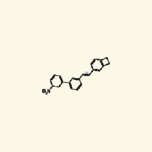 O=[N+]([O-])C1C=CC=C(c2cccc(/C=C/c3ccc4c(c3)CC4)c2)C1